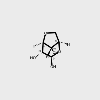 O[C@@H]1[C@H]2OC[C@@H](O[C@H]1O)[C@@H]2O